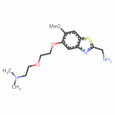 COc1cc2sc(CN)nc2cc1OCCOCCN(C)C